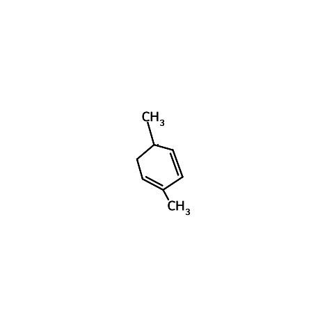 C[C]1C=CC(C)=CC1